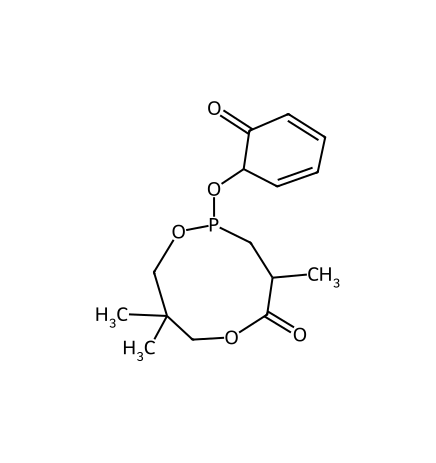 CC1CP(OC2C=CC=CC2=O)OCC(C)(C)COC1=O